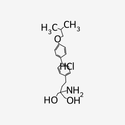 CC(C)COc1ccc(-c2ccc(CCC(N)(CO)CO)cc2)cc1.Cl